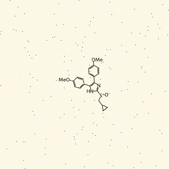 COc1ccc(-c2nc([S+]([O-])CC3CC3)[nH]c2-c2ccc(OC)cc2)cc1